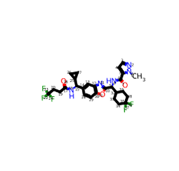 Cn1nccc1C(=O)N[C@H](c1nc2cc([C@@H](NC(=O)CCC(F)(F)F)C3CC3)ccc2o1)C1CCC(F)(F)CC1